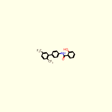 O=C(Nc1ccc(-c2cc(C(F)(F)F)ccc2C(F)(F)F)cc1)c1ccccc1O